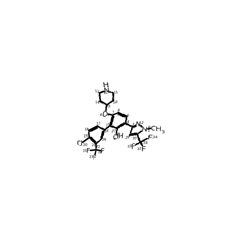 Cn1nc(-c2ccc(OC3CCNCC3)c(-c3ccc(Cl)c(C(F)(F)F)c3)c2O)cc1C(F)(F)F